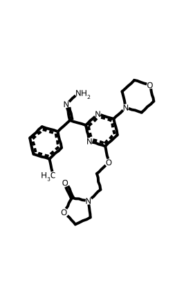 Cc1cccc(/C(=N/N)c2nc(OCCN3CCOC3=O)cc(N3CCOCC3)n2)c1